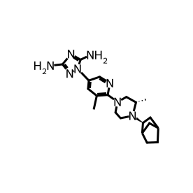 Cc1cc(-n2nc(N)nc2N)cnc1N1CCN([C@H]2CC3CCC2C3)[C@@H](C)C1